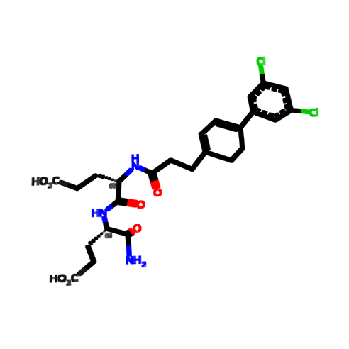 NC(=O)[C@H](CCC(=O)O)NC(=O)[C@H](CCC(=O)O)NC(=O)CCC1=CC=C(c2cc(Cl)cc(Cl)c2)CC1